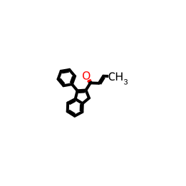 C/C=C/C(=O)C1=C(c2ccccc2)c2ccccc2C1